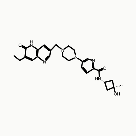 CCc1cc2ncc(CN3CCN(c4ccc(C(=O)N[C@H]5C[C@](C)(O)C5)nc4)CC3)cc2[nH]c1=O